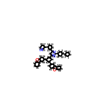 c1ccc(-c2ccc(-c3nc(-c4cccc(-c5cccnc5)c4)cc(-c4cc(-c5ccc6oc7ccccc7c6c5)cc(-c5ccc6oc7ccccc7c6c5)c4)n3)cc2)cc1